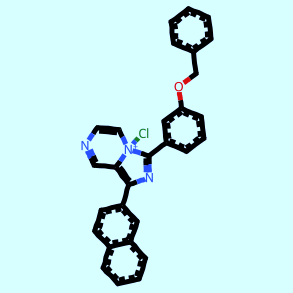 Cl[N+]12C=CN=CC1=C(c1ccc3ccccc3c1)N=C2c1cccc(OCc2ccccc2)c1